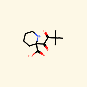 CC(C)(C)C(=O)C(=O)C1(C(=O)O)CCCCN1